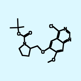 COc1cc2ncnc(Cl)c2cc1OCC1CCCN1C(=O)OC(C)(C)C